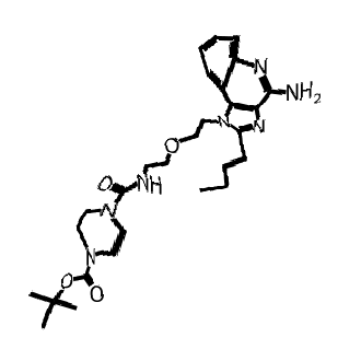 CCCCc1nc2c(N)nc3ccccc3c2n1CCOCCNC(=O)N1CCN(C(=O)OC(C)(C)C)CC1